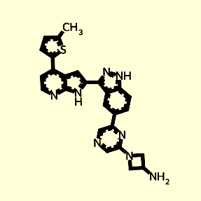 Cc1ccc(-c2ccnc3[nH]c(-c4n[nH]c5ccc(-c6cncc(N7CC(N)C7)n6)cc45)cc23)s1